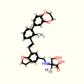 Cc1c(/C=C/c2cc(CNC(C)(CO)C(=O)O)cc3c2OCC3)cccc1-c1ccc2c(c1)OCCO2